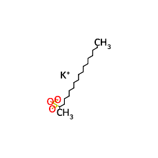 CCCCCCCCCCCCCCCCC(C)S(=O)(=O)[O-].[K+]